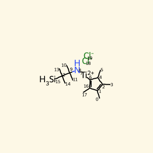 CC1=C(C)C(C)[C]([Ti+2][NH]C(C)(C)C(C)(C)[SiH3])=C1C.[Cl-].[Cl-]